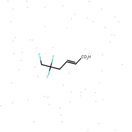 O=C(O)/C=C/CC(F)(F)CF